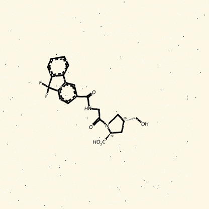 O=C(NCC(=O)N1C[C@H](CO)C[C@H]1C(=O)O)c1ccc2c(c1)-c1ccccc1C2(F)F